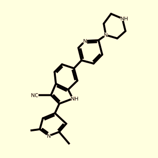 Cc1cc(-c2[nH]c3cc(-c4ccc(N5CCNCC5)nc4)ccc3c2C#N)cc(C)n1